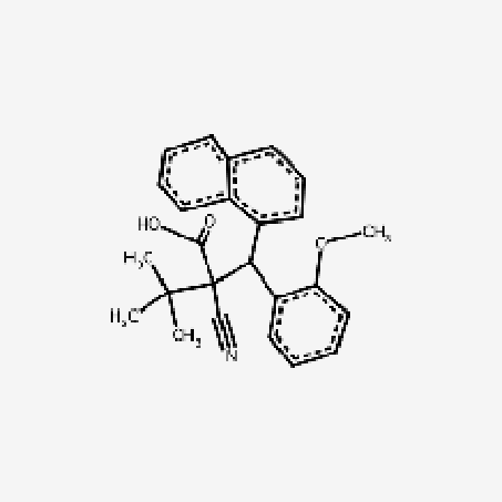 COc1ccccc1C(c1cccc2ccccc12)C(C#N)(C(=O)O)C(C)(C)C